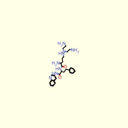 NCCN(CCN)NCCC[C@H](N)C(=O)N[C@@H](CCc1ccccc1)C(=O)Nc1cnc2ccccc2c1